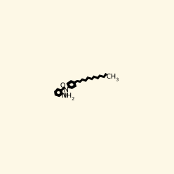 CCCCCCCCCCCCc1ccc(NC(=O)c2ccccc2N)cc1